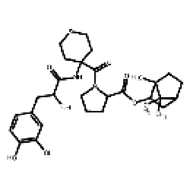 CC1(C)C2CCC1(C)C(OC(=O)C1CCCN1C(=O)C1(NC(=O)C(O)Cc3ccc(O)c(O)c3)CCSCC1)C2